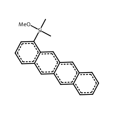 CO[Si](C)(C)c1cccc2cc3cc4ccccc4cc3cc12